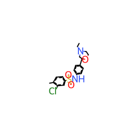 CCN1CCOC(c2ccc(NS(=O)(=O)c3ccc(C)c(Cl)c3)cc2)C1